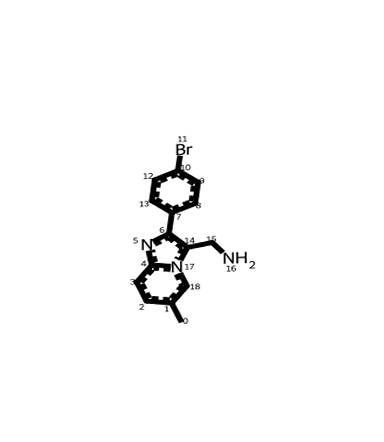 Cc1ccc2nc(-c3ccc(Br)cc3)c(CN)n2c1